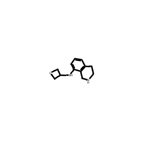 c1cc2c(c(NC3COC3)c1)CNCC2